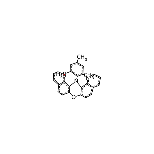 Cc1cc(C)c(N2c3c(ccc4cccnc34)Oc3ccc4cccnc4c32)c(C)c1